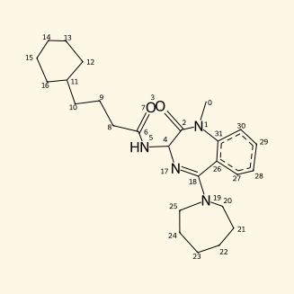 CN1C(=O)C(NC(=O)CCCC2CCCCC2)N=C(N2CCCCCC2)c2ccccc21